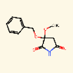 O=COC1(OCc2ccccc2)CC(=O)NC1=O